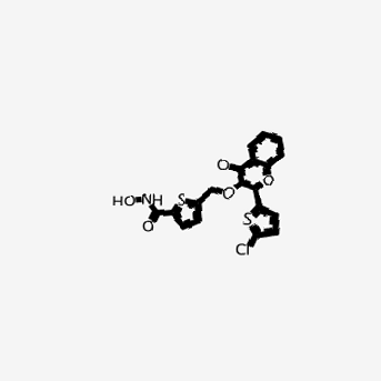 O=C(NO)c1ccc(COc2c(-c3ccc(Cl)s3)oc3ccccc3c2=O)s1